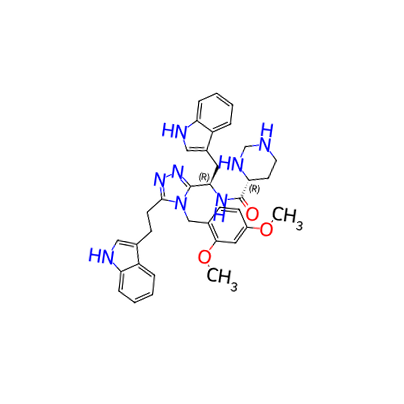 COc1ccc(Cn2c(CCc3c[nH]c4ccccc34)nnc2[C@@H](Cc2c[nH]c3ccccc23)NC(=O)[C@H]2CCNCN2)c(OC)c1